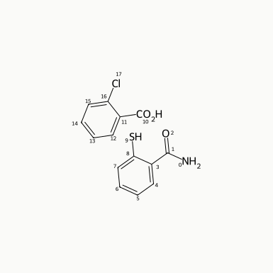 NC(=O)c1ccccc1S.O=C(O)c1ccccc1Cl